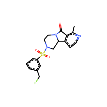 Cc1nccc2c1C(=O)N1CCN(S(=O)(=O)c3cccc(CF)c3)CC21